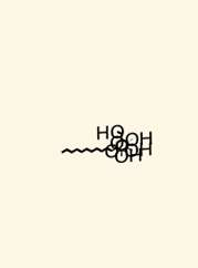 CCCCCCCCCCO[C@H]1O[C@H](CO)[C@H](O)[C@@H](O)[C@H]1O